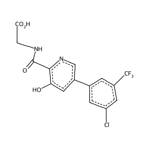 O=C(O)CNC(=O)c1ncc(-c2cc(Cl)cc(C(F)(F)F)c2)cc1O